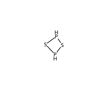 P1SPS1